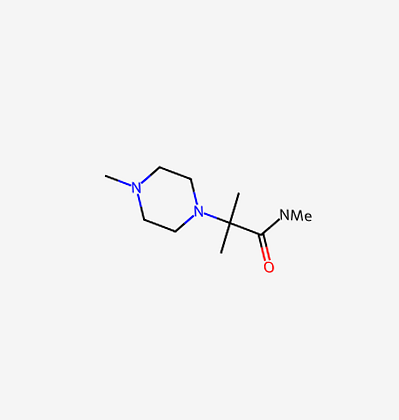 CNC(=O)C(C)(C)N1CCN(C)CC1